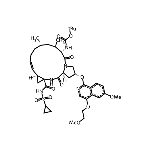 COCCOc1cnc(O[C@@H]2C[C@H]3C(=O)N[C@]4(C(=O)NS(=O)(=O)C5CC5)C[C@H]4/C=C\CC[C@H](C)C[C@@H](C)[C@H](NC(=O)OC(C)(C)C)C(=O)N3C2)c2ccc(OC)cc12